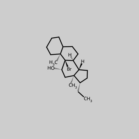 CC[C@H]1CC[C@H]2[C@@H]3CCC4CCCC[C@]4(C)[C@@]3(Br)[C@@H](O)C[C@]12C